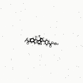 CN(C)C(=O)c1ccc(Nc2ncnc3c2c(F)cn3C2CCN(C(=O)OC(C)(C)C)CC2)c(F)c1